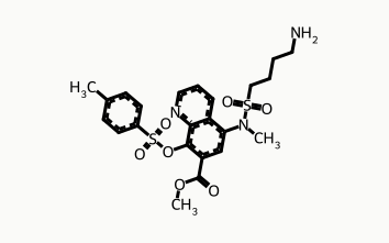 COC(=O)c1cc(N(C)S(=O)(=O)CCCCN)c2cccnc2c1OS(=O)(=O)c1ccc(C)cc1